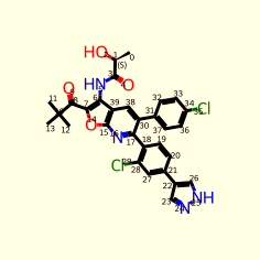 C[C@H](O)C(=O)Nc1c(C(=O)C(C)(C)C)oc2nc(-c3ccc(-c4cn[nH]c4)cc3Cl)c(-c3ccc(Cl)cc3)cc12